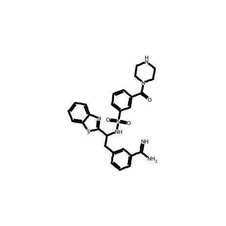 N=C(N)c1cccc(CC(NS(=O)(=O)c2cccc(C(=O)N3CCNCC3)c2)c2nc3ccccc3s2)c1